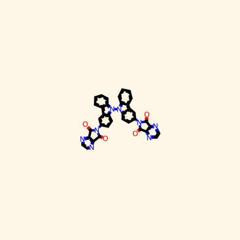 O=C1c2nccnc2C(=O)N1c1ccc2c(c1)c1ccccc1n2-n1c2ccccc2c2cc(N3C(=O)c4nccnc4C3=O)ccc21